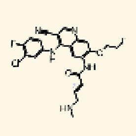 CNC/C=C/C(=O)Nc1cc2c(Nc3ccc(F)c(Cl)c3)c(C#N)cnc2cc1OCCF